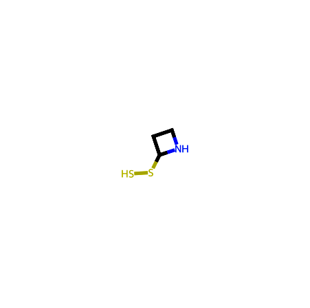 SSC1CCN1